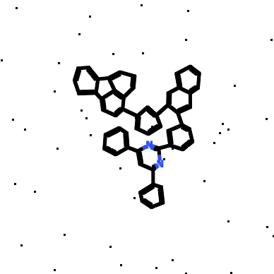 c1ccc(-c2cc(-c3ccccc3)nc(-c3cccc(-c4cc5ccccc5cc4-c4cccc(-c5ccc6c7c(cccc57)-c5ccccc5-6)c4)c3)n2)cc1